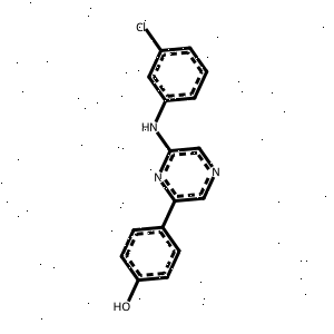 Oc1ccc(-c2cncc(Nc3cccc(Cl)c3)n2)cc1